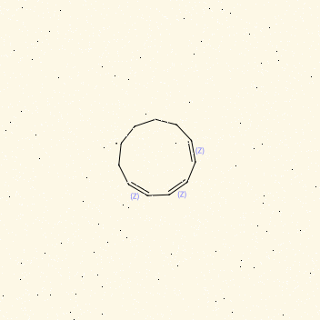 [CH]1C\C=C/C=C\C=C/CCC1